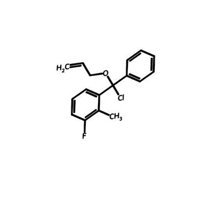 C=CCOC(Cl)(c1ccccc1)c1cccc(F)c1C